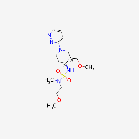 COCCN(C)S(=O)(=O)N[C@H]1CCN(c2cccnn2)C[C@H]1COC